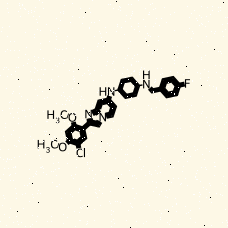 COc1cc(OC)c(-c2cn3ccc(N[C@H]4CC[C@@H](NCc5ccc(F)cc5)CC4)cc3n2)cc1Cl